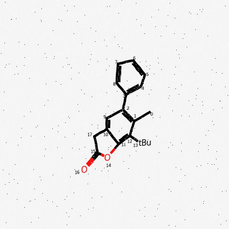 Cc1c(-c2ccccc2)cc2c(c1C(C)(C)C)OC(=O)C2